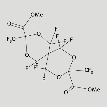 COC(=O)C1(C(F)(F)F)OC(F)(F)C2(C(F)(F)O1)C(F)(F)OC(C(=O)OC)(C(F)(F)F)OC2(F)F